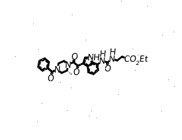 CCOC(=O)CCNC(=O)Nc1cccc2c(C(=O)C(=O)N3CCN(C(=O)c4ccccc4)C[C@H]3C)c[nH]c12